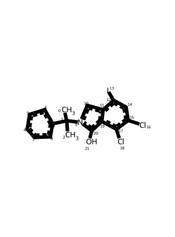 CC(C)(c1ccccc1)n1cc2c(I)cc(Cl)c(Cl)c2c1O